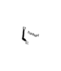 CCCCC.[NaH].[NaH]